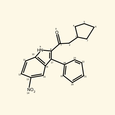 O=C(CC1CCCC1)c1[nH]c2ccc([N+](=O)[O-])cc2c1-c1ccccc1